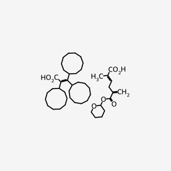 C=C(CC=C(C)C(=O)O)C(=O)OC1CCCCO1.O=C(O)C(=C(C1CCCCCCCCC1)C1CCCCCCCCC1)C1CCCCCCCCC1